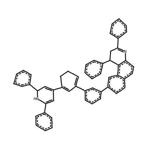 C1=C(C2=CC(c3cccc(-c4ccc5ccc6c(c5c4)C(c4ccccc4)CC(c4ccccc4)=N6)c3)=CCC2)C=C(c2ccccc2)NC1c1ccccc1